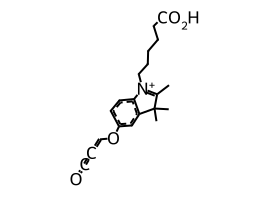 CC1=[N+](CCCCCC(=O)O)c2ccc(OC=C=C=O)cc2C1(C)C